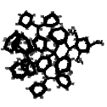 Cc1cc(C)c(B2c3ccccc3C(c3cc(N(c4ccccc4)c4ccccc4)cc(N(c4ccccc4)c4ccccc4)c3)(c3cc(N(c4ccccc4)c4ccccc4)cc(N(c4ccccc4)c4ccccc4)c3)c3ccccc32)c(C)c1